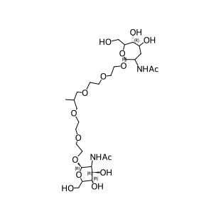 CC(=O)NC1CC(O)[C@@H](O)C(CO)O[C@H]1OCCOCCOCC(C)COCCOCCO[C@@H]1OC(CO)[C@H](O)[C@H](O)C1NC(C)=O